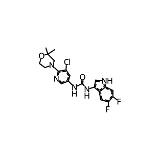 CC1(C)CN(c2ncc(NC(=O)Nc3c[nH]c4cc(F)c(F)cc34)cc2Cl)CCO1